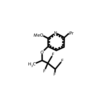 COc1nc(C(C)C)ccc1OC(C)C(F)(F)C(F)F